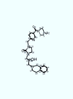 CC(=O)N1CCN(C(=O)c2ccc(CN3CCN(C[C@H](O)CN4CCc5ccccc5C4)C3=O)nc2)CC1